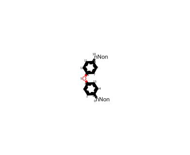 CCCCCCCCCc1ccc(Oc2ccc(CCCCCCCCC)cc2)cc1